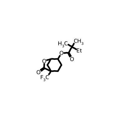 CCC(C)(C)C(=O)OC1CCC2(C(F)(F)F)CC1OC2=O